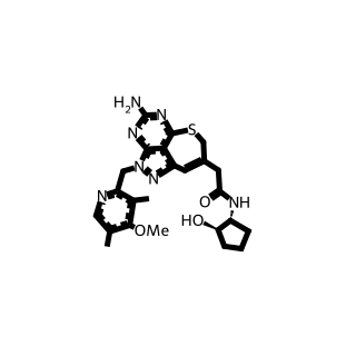 COc1c(C)cnc(Cn2nc3c4c(nc(N)nc42)SCC(CC(=O)N[C@@H]2CCC[C@H]2O)=C3)c1C